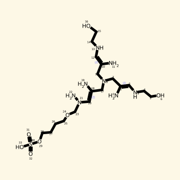 N/C(=C\NCCO)CN(C/C(N)=C/NCCO)C/C(N)=C/N(N)COCCCCOS(=O)(=O)O